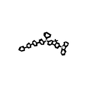 CC1(C)c2cc(N(c3ccccc3)c3ccc(-c4ccc(-c5ccc(-c6ccccc6)cc5)cc4)cc3)ccc2-c2ccc(-n3c4ccccc4c4ccccc43)cc21